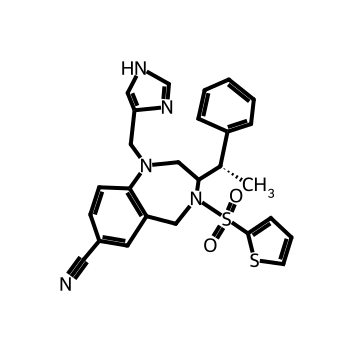 C[C@@H](c1ccccc1)C1CN(Cc2c[nH]cn2)c2ccc(C#N)cc2CN1S(=O)(=O)c1cccs1